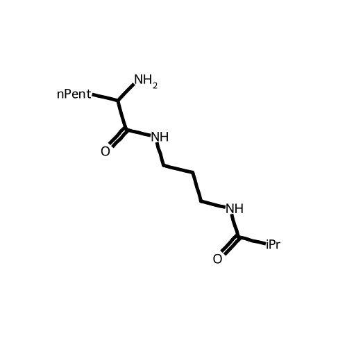 CCCCCC(N)C(=O)NCCCNC(=O)C(C)C